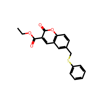 CCOC(=O)c1cc2cc(CSc3ccccc3)ccc2oc1=O